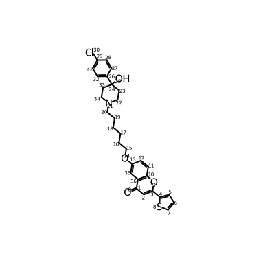 O=c1cc(-c2cccs2)oc2ccc(OCCCCCCN3CCC(O)(c4ccc(Cl)cc4)CC3)cc12